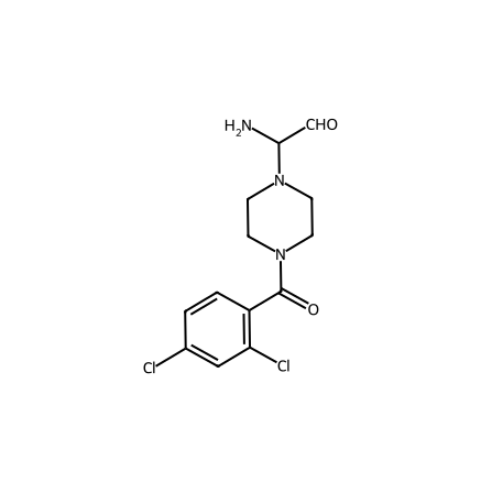 NC(C=O)N1CCN(C(=O)c2ccc(Cl)cc2Cl)CC1